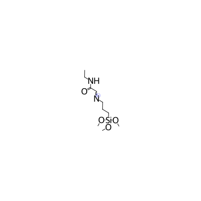 CCNC(=O)/C=N/CCC[Si](OC)(OC)OC